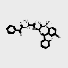 C[C@H](NC(=O)C(=O)c1ccccc1)C(=O)NC1N=C(c2ccccc2F)c2cc(Br)ccc2N(C)C1=O